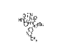 CC(C)(C)C[C@H](NC(=O)c1ccc2ncc(C(F)(F)F)cc2c1)C(=O)N1C[C@]2(C[C@H]1C#N)C(=O)Nc1ccccc12